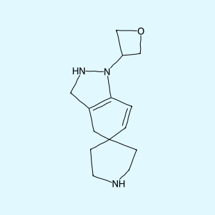 C1=CC2(CCNCC2)CC2=C1N(C1COC1)NC2